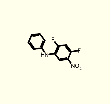 O=[N+]([O-])c1cc(Nc2ccccc2)c(F)cc1F